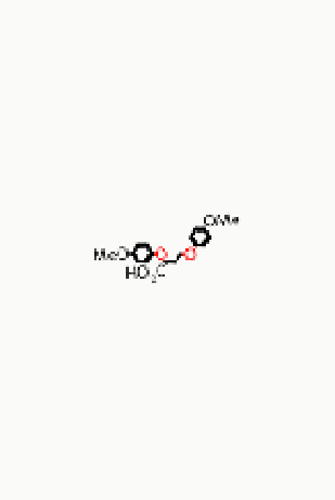 COc1ccc(OCCC(Oc2ccc(OC)cc2)C(=O)O)cc1